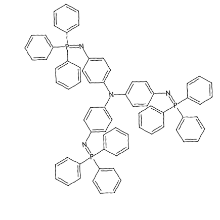 c1ccc(P(=Nc2ccc(N(c3ccc(N=P(c4ccccc4)(c4ccccc4)c4ccccc4)cc3)c3ccc(N=P(c4ccccc4)(c4ccccc4)c4ccccc4)cc3)cc2)(c2ccccc2)c2ccccc2)cc1